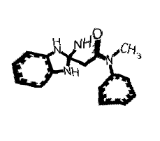 CN(C(=O)CC1(N)Nc2ccccc2N1)c1ccccc1